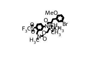 COc1ccc(Br)cc1CCC(=O)Nc1ccc(S(=O)(=O)C(F)(F)F)c(CN(C)C(=O)OCC[Si](C)(C)C)c1